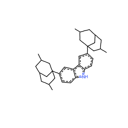 CC1CC2CC(C)CC(c3ccc4[nH]c5ccc(C67CC(C)CC(CC(C)C6)C7)cc5c4c3)(C1)C2